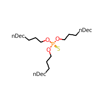 CCCCCCCCCCCCCOP(=S)(OCCCCCCCCCCCCC)OCCCCCCCCCCCCC